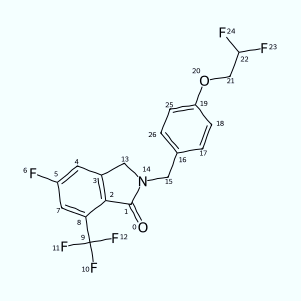 O=C1c2c(cc(F)cc2C(F)(F)F)CN1Cc1ccc(OCC(F)F)cc1